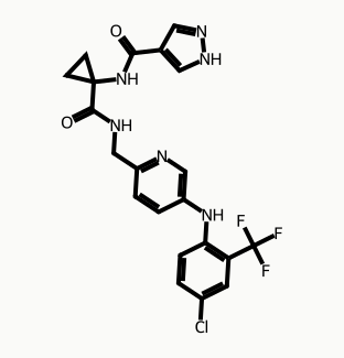 O=C(NC1(C(=O)NCc2ccc(Nc3ccc(Cl)cc3C(F)(F)F)cn2)CC1)c1cn[nH]c1